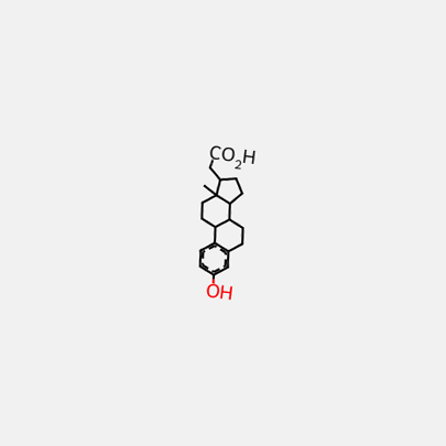 CC12CCC3c4ccc(O)cc4CCC3C1CCC2CC(=O)O